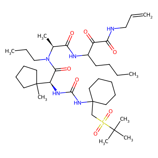 C=CCNC(=O)C(=O)C(CCCC)NC(=O)[C@H](C)N(CCC)C(=O)[C@@H](NC(=O)NC1(CS(=O)(=O)C(C)(C)C)CCCCC1)C1(C)CCCC1